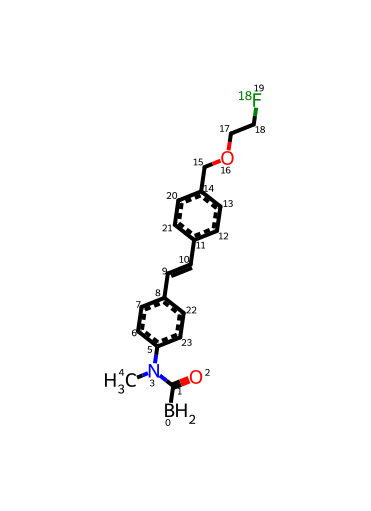 BC(=O)N(C)c1ccc(/C=C/c2ccc(COCC[18F])cc2)cc1